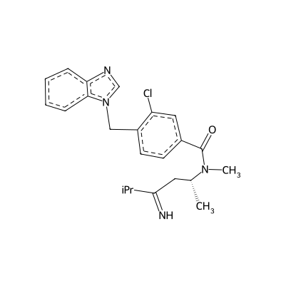 CC(C)C(=N)C[C@@H](C)N(C)C(=O)c1ccc(Cn2cnc3ccccc32)c(Cl)c1